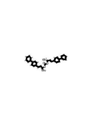 CC(C)(C)C(/C=C/c1ccc(-c2ccccc2)cc1)OC(=O)OC(/C=C/c1ccc(-c2ccccc2)cc1)C(C)(C)C